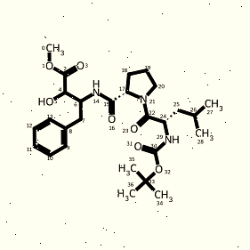 COC(=O)C(O)C(Cc1ccccc1)NC(=O)[C@@H]1CCCN1C(=O)[C@H](CC(C)C)NC(=O)OC(C)(C)C